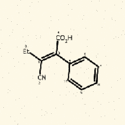 CCC(C#N)=C(C(=O)O)c1ccccc1